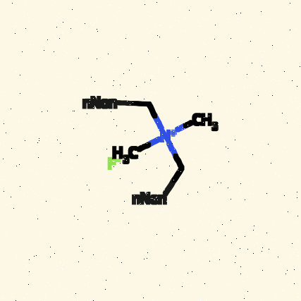 CCCCCCCCCC[N+](C)(C)CCCCCCCCCC.[F-]